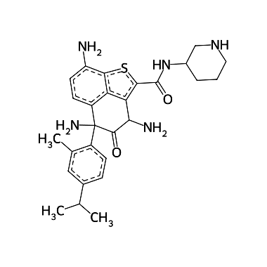 Cc1cc(C(C)C)ccc1C1(N)C(=O)C(N)c2c(C(=O)NC3CCCNC3)sc3c(N)ccc1c23